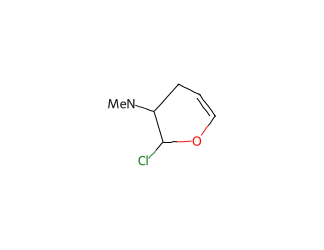 CNC1CC=COC1Cl